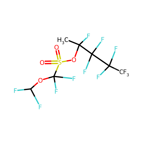 CC(F)(OS(=O)(=O)C(F)(F)OC(F)F)C(F)(F)C(F)(F)C(F)(F)F